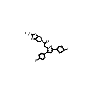 Cc1nc2c(s1)CN(C(=O)Cn1nc(-c3ccc(F)cc3)cc1-c1ccc(F)cc1)C2